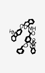 CS(=O)(=O)N(Cc1ccccc1)c1cc(C(=O)CNC(=O)c2ccccc2CCOc2ccc3c4c([nH]c3c2)CCCC4)ccc1OCc1ccccc1